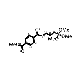 COC(=O)c1ccc(C(=O)NCCC[Si](OC)(OC)OC)cc1